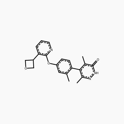 Cc1cc(Oc2ncccc2C2COC2)ccc1-c1c(C)n[nH]c(=O)c1C